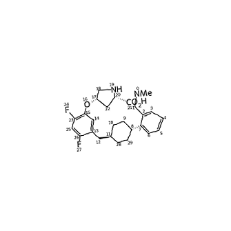 CNCc1ccccc1[C@H]1CC[C@H](Cc2cc(O[C@@H]3CN[C@H](C(=O)O)C3)c(F)cc2F)CC1